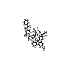 COc1ccc(C(OC[C@]2(COP(OCCC#N)N(C(C)C)C(C)C)COC[C@H](n3ccc(NC(=O)c4ccccc4)nc3=O)O2)(c2ccccc2)c2ccc(OC)cc2)cc1